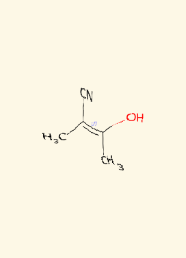 C/C(O)=C(\C)C#N